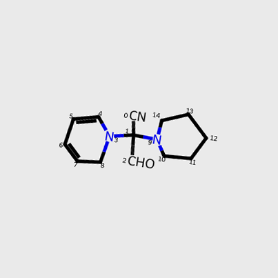 N#CC(C=O)(N1C=CC=CC1)N1CCCCC1